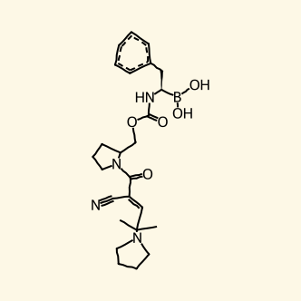 CC(C)(C=C(C#N)C(=O)N1CCCC1COC(=O)N[C@@H](Cc1ccccc1)B(O)O)N1CCCC1